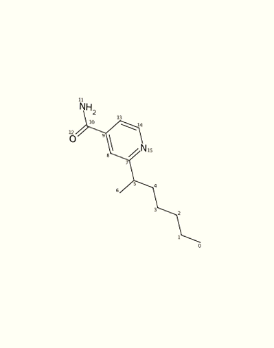 CCCCCC(C)c1cc(C(N)=O)ccn1